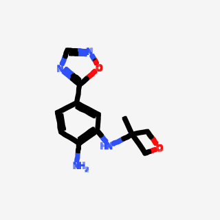 CC1(Nc2cc(-c3ncno3)ccc2N)COC1